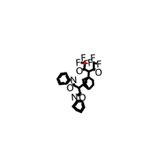 O=C(C(C(=O)C(F)(F)F)C12C=C(C(c3nc4ccccc4o3)c3nc4ccccc4o3)C(CC1)CC2)C(F)(F)F